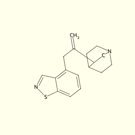 C=C(Cc1cccc2sncc12)C1CN2CCC1CC2